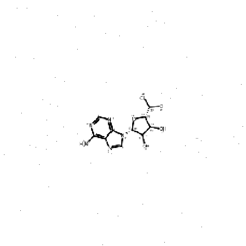 Nc1ncnc2c1ncn2[C@@H]1O[C@H](C(Cl)Cl)[C@@H](O)[C@H]1O